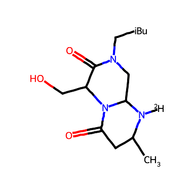 [2H]N1C(C)CC(=O)N2C(CO)C(=O)N(CC(C)CC)CC12